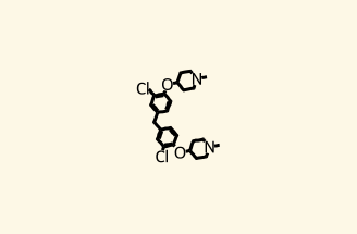 CN1CCC(Oc2ccc(Cc3ccc(OC4CCN(C)CC4)c(Cl)c3)cc2Cl)CC1